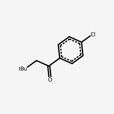 CC(C)(C)CC(=O)c1ccc(Cl)cc1